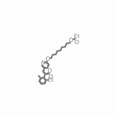 CCC(=O)OCCCCCCCCCOc1cc2oc(=O)c(-c3c(C)cccc3CC)cc2cn1